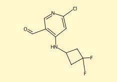 O=Cc1cnc(Cl)cc1NC1CC(F)(F)C1